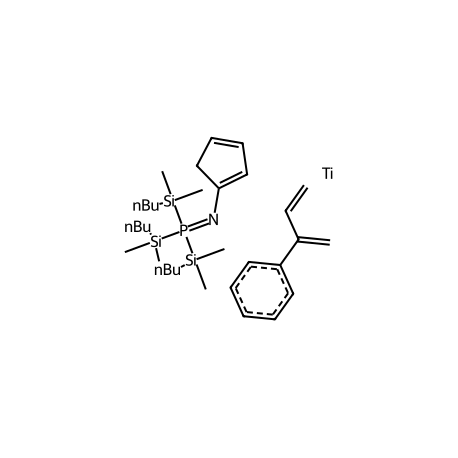 C=CC(=C)c1ccccc1.CCCC[Si](C)(C)P(=NC1=CC=CC1)([Si](C)(C)CCCC)[Si](C)(C)CCCC.[Ti]